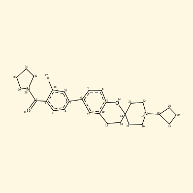 O=C(c1ccc(-c2ccc3c(c2)CCC2(CCN(C4CCC4)CC2)O3)cc1F)N1CCCC1